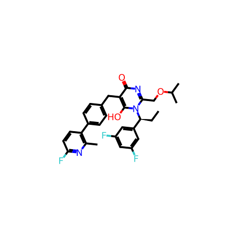 CC[C@@H](c1cc(F)cc(F)c1)n1c(COC(C)C)nc(=O)c(Cc2ccc(-c3ccc(F)nc3C)cc2)c1O